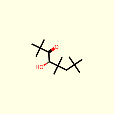 CC(C)(C)CC(C)(C)[C@@H](O)C(=O)C(C)(C)C